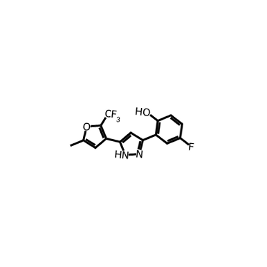 Cc1cc(-c2cc(-c3cc(F)ccc3O)n[nH]2)c(C(F)(F)F)o1